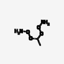 CC(OON)OON